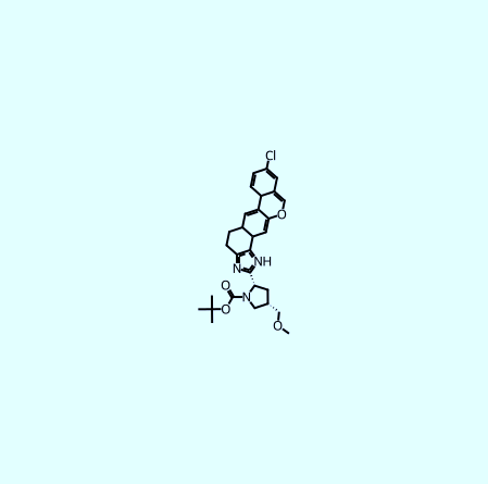 COC[C@H]1C[C@@H](c2nc3c([nH]2)C2C=C4OC=C5C=C(Cl)C=CC5C4=CC2CC3)N(C(=O)OC(C)(C)C)C1